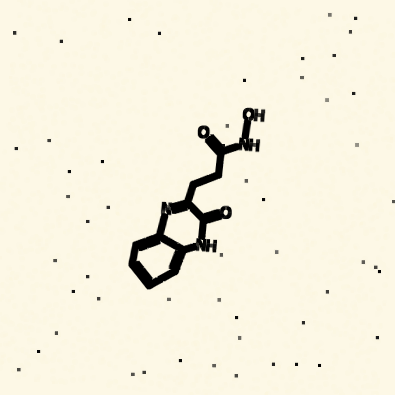 O=C(CCc1nc2ccccc2[nH]c1=O)NO